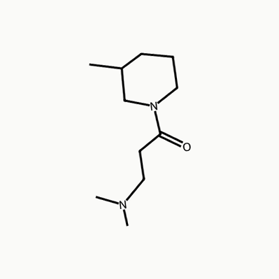 CC1CCCN(C(=O)CCN(C)C)C1